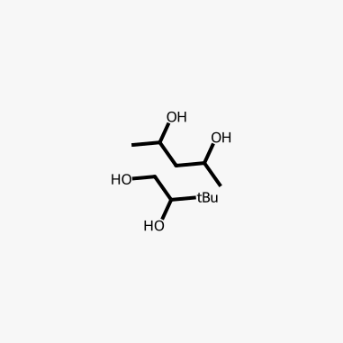 CC(C)(C)C(O)CO.CC(O)CC(C)O